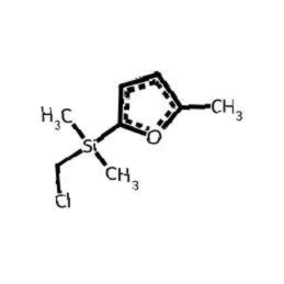 Cc1ccc([Si](C)(C)CCl)o1